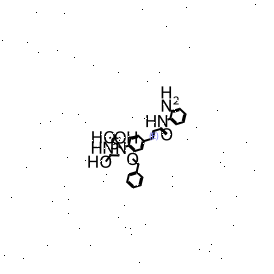 Nc1ccccc1NC(=O)/C=C/c1ccc(N2CC(O)NS2(O)O)c(OCc2ccccc2)c1